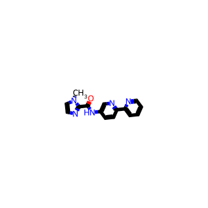 Cn1ccnc1C(=O)Nc1ccc(-c2ccccn2)nc1